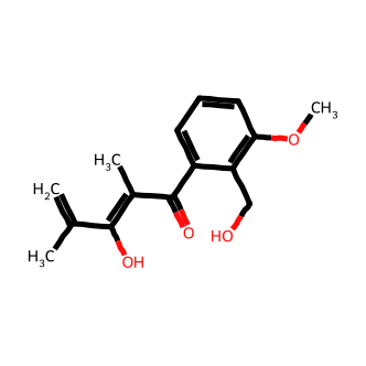 C=C(C)/C(O)=C(\C)C(=O)c1cccc(OC)c1CO